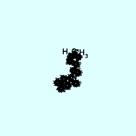 CC1(C)c2cccc(-c3ccc(-c4ccc(-c5cc(-c6cccc7c6-c6ccccc6C7(c6ccccc6)c6ccccc6)nc(-c6ccccc6)n5)c5ccccc45)cc3)c2-c2c1ccc1ccccc21